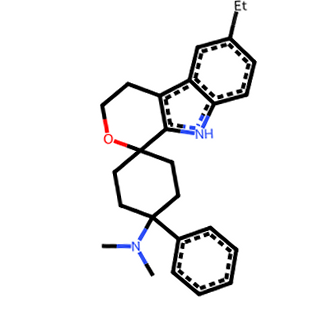 CCc1ccc2[nH]c3c(c2c1)CCOC31CCC(c2ccccc2)(N(C)C)CC1